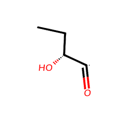 CC[C@@H](O)[C]=O